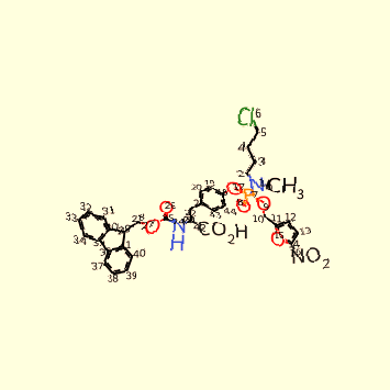 CN(CCCCCl)P(=O)(OCc1ccc([N+](=O)[O-])o1)Oc1ccc(C[C@H](NC(=O)OCC2c3ccccc3-c3ccccc32)C(=O)O)cc1